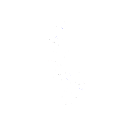 CCc1nn(CC(C)(C)COC(=O)c2cccc(C(=O)N3CCN(C(C)=O)CC3)c2)c2c1C(=O)NCC1(CCOCC1)C2